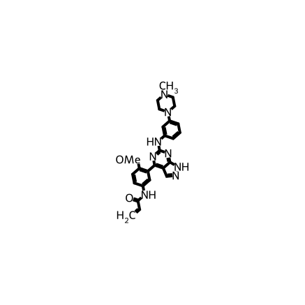 C=CC(=O)Nc1ccc(OC)c(-c2nc(Nc3cccc(N4CCN(C)CC4)c3)nc3[nH]ncc23)c1